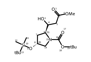 COC(=O)CC(O)[C@@H]1C[C@@H](O[Si](C)(C)C(C)(C)C)CN1C(=O)OC(C)(C)C